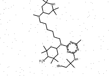 Cc1nc(NC(C)(C)CC(C)(C)C)nc(N(CCCCCCN(C)C2CC(C)(C)NC(C)(C)C2)C2CC(C)(C)C(N)C(C)(C)C2)n1